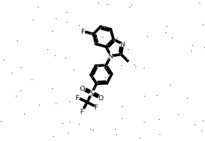 Cc1nc2ccc(F)cc2n1-c1ccc(S(=O)(=O)C(F)(F)F)cc1